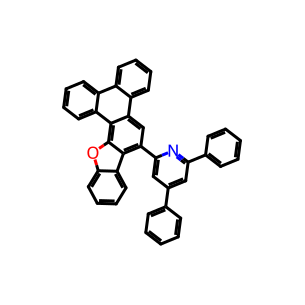 c1ccc(-c2cc(-c3ccccc3)nc(-c3cc4c5ccccc5c5ccccc5c4c4oc5ccccc5c34)c2)cc1